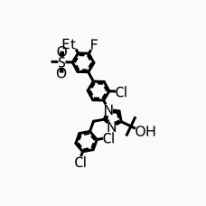 CCc1c(F)cc(-c2ccc(-n3cc(C(C)(C)O)nc3Cc3ccc(Cl)cc3Cl)c(Cl)c2)cc1S(C)(=O)=O